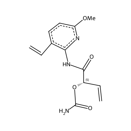 C=Cc1ccc(OC)nc1NC(=O)[C@H](C=C)OC(N)=O